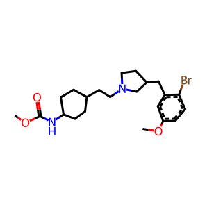 COC(=O)NC1CCC(CCN2CCC(Cc3cc(OC)ccc3Br)C2)CC1